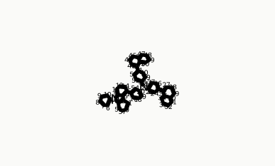 C1=Cc2c(n(-c3ccccc3)c3cccc(-c4cccc(N(c5ccc(-c6cccc7ccccc67)cc5)c5ccc(-c6cccc7ccccc67)cc5)c4)c23)CC1